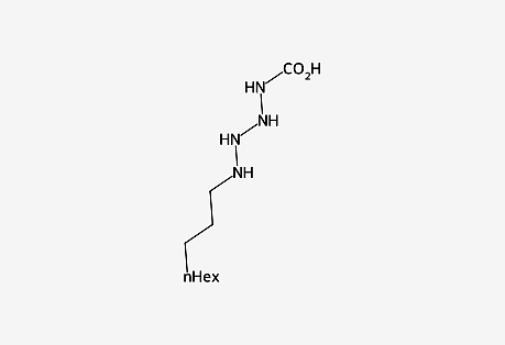 CCCCCCCCCNNNNC(=O)O